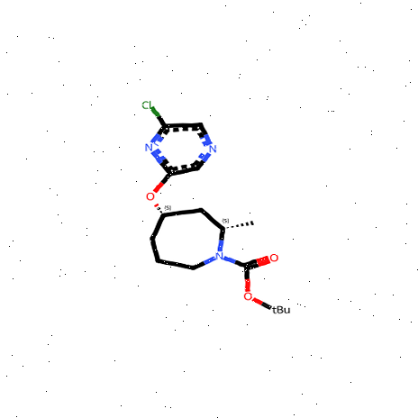 C[C@H]1C[C@@H](Oc2cncc(Cl)n2)CCCN1C(=O)OC(C)(C)C